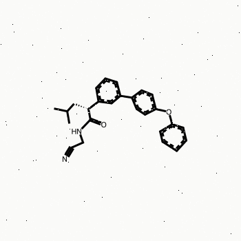 CC(C)C[C@@H](C(=O)NCC#N)c1cccc(-c2ccc(Oc3ccccc3)cc2)c1